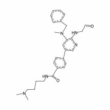 CN(C)CCCCNC(=O)c1ccc(-c2cnc(NCC=O)c(N(C)Cc3ccccc3)c2)cc1